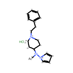 CC(=O)N(C1CCN(CCc2ccccc2)CC1)n1cccc1.Cl